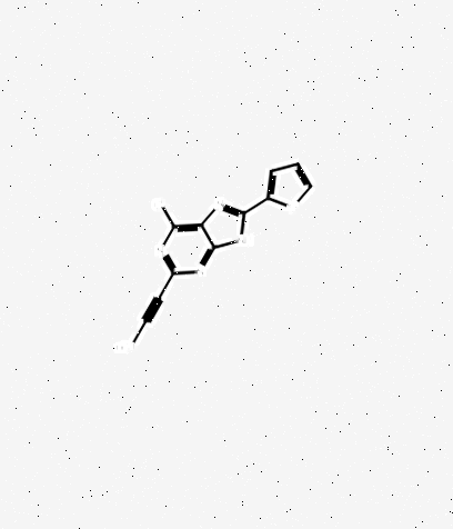 CCCCC#Cc1nc(Cl)c2nc(-c3ccco3)[nH]c2n1